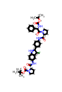 CC(C)OC(=O)N[C@@H](C(=O)N1CCC[C@H]1C(=O)Nc1ccc(C2Nc3ccc(NC(=O)[C@@H]4CCCN4C(=O)OC(C)(C)C)cc3C2F)cc1)c1ccccc1